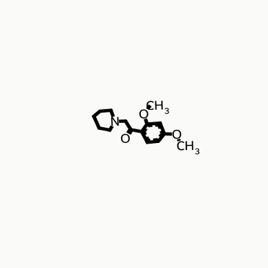 COc1ccc(C(=O)CN2CCCCC2)c(OC)c1